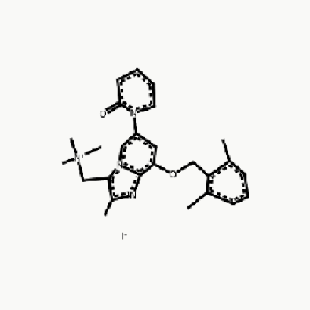 Cc1cccc(C)c1COc1cc(-n2ccccc2=O)cn2c(C[N+](C)(C)C)c(C)nc12.[I-]